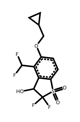 O=S1(=O)c2ccc(OCC3CC3)c(C(F)F)c2C(O)C1(F)F